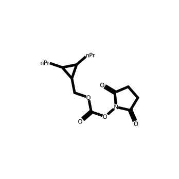 CCCC1C(CCC)C1COC(=O)ON1C(=O)CCC1=O